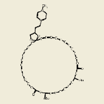 CCCCC1CCCCCCC(CCCC)CC(=O)OCCCCCCCCCCC2(CCCCCCCCCCOC(=O)C1)OCC(CCN1CCN(C)CC1)O2